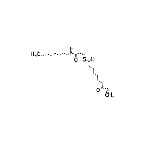 CCCCCCCCNC(=O)/C=C\SC(=O)CCCCCCC(=O)OC